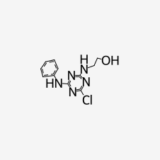 OCCNc1nc(Cl)nc(Nc2ccccc2)n1